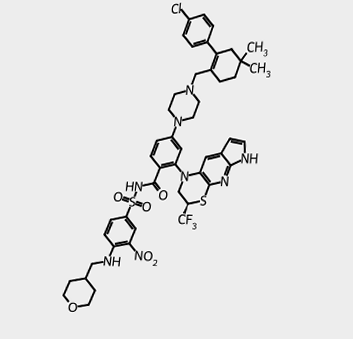 CC1(C)CCC(CN2CCN(c3ccc(C(=O)NS(=O)(=O)c4ccc(NCC5CCOCC5)c([N+](=O)[O-])c4)c(N4C[C@H](C(F)(F)F)Sc5nc6[nH]ccc6cc54)c3)CC2)=C(c2ccc(Cl)cc2)C1